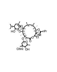 CCCC(=O)O[C@@H]1[C@@H](C)N(C)C[C@H](C)C[C@@](C)(O)[C@H](O[C@@H]2O[C@H](C)CC(N(C)C)[C@H]2O)[C@@H](C)[C@H](O[C@H]2C[C@@](C)(OC)[C@@H](O)[C@H](C)O2)[C@@H](C)C(=O)O[C@H](CC)[C@@]1(C)O